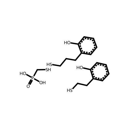 O=P(O)(O)CS.Oc1ccccc1CCCS.Oc1ccccc1CCS